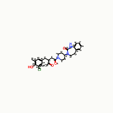 COC(=O)C(CC(=O)N1CCC(N2CCc3ccccc3NC2=O)CC1)Cc1cc(C)c(O)c(Cl)c1